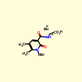 CCCCn1c(C)c(C)cc(C(=O)N[C@H](C(=O)O)[C@H](C)CC)c1=O